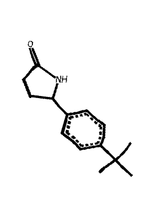 CC(C)(C)c1ccc(C2CCC(=O)N2)cc1